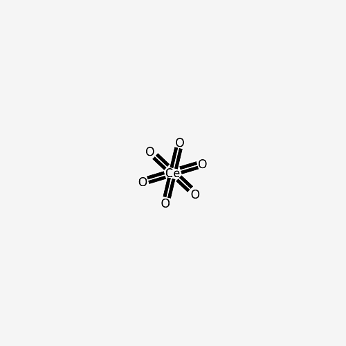 [O]=[Ce](=[O])(=[O])(=[O])(=[O])=[O]